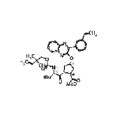 C=Cc1cccc(-c2nc3ccccc3nc2O[C@@H]2C[C@@H](C(=O)OC)N(C(=O)[C@@H](NC(=O)OCC(C)(C)C=C)C(C)(C)C)C2)c1